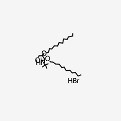 Br.CCCCCCCCCCCCOC(CO)C(NC(C)(C)C)OCCCCCCCCCCCC